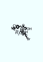 Cc1ncsc1-c1ccc(CNC(=O)C2CC(O)CN2C(=O)C(NC(=O)CCCCBr)C(C)(C)C)cc1